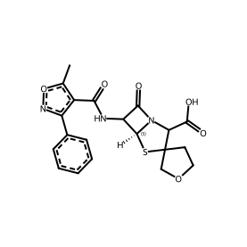 Cc1onc(-c2ccccc2)c1C(=O)NC1C(=O)N2C(C(=O)O)C3(CCOC3)S[C@@H]12